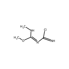 CN/C(=N\C(=N)Cl)OC